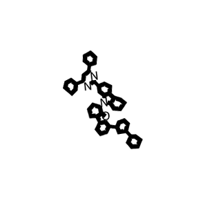 c1ccc(-c2cccc(-c3cccc4c3oc3c(-n5c6ccccc6c6ccc(-c7nc(-c8ccccc8)cc(-c8ccccc8)n7)cc65)cccc34)c2)cc1